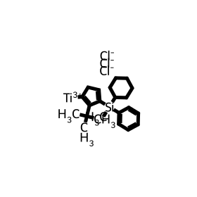 CC(C)(C)C1=[C]([Ti+3])CC=C1[Si](C)(c1ccccc1)C1CCCCC1.[Cl-].[Cl-].[Cl-]